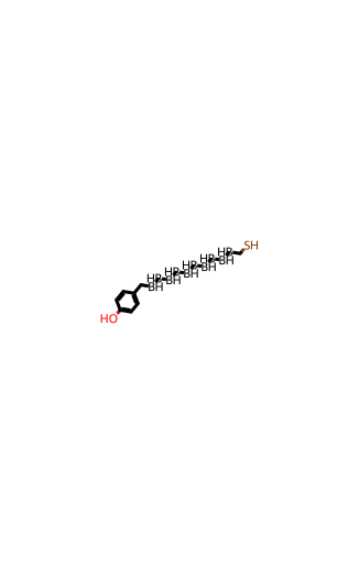 Oc1ccc(CBBBBBBBBBBCS)cc1